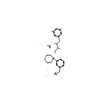 CC(=O)NC(Cc1cc(F)cc(F)c1)C(O)CNC1(c2cccc(CC(C)(C)C)c2)CCCCC1